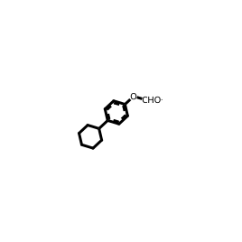 O=[C]Oc1ccc(C2CCCCC2)cc1